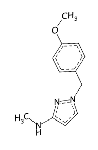 CNc1ccn(Cc2ccc(OC)cc2)n1